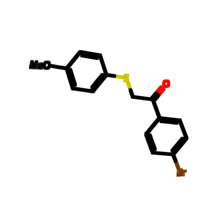 COc1ccc(SCC(=O)c2ccc(Br)cc2)cc1